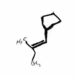 CC(C)=CC1C[CH]C1